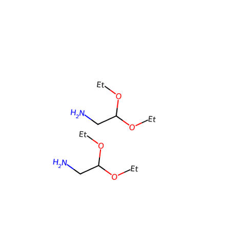 CCOC(CN)OCC.CCOC(CN)OCC